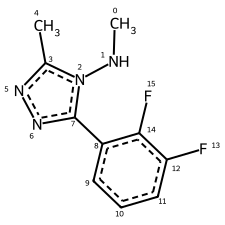 CNn1c(C)nnc1-c1cccc(F)c1F